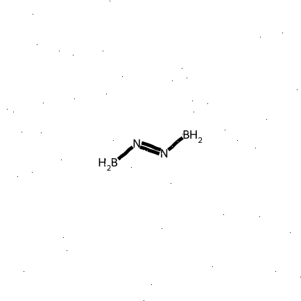 BN=NB